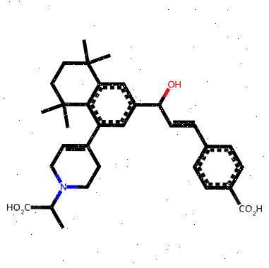 CC(C(=O)O)N1CC=C(c2cc(C(O)C=Cc3ccc(C(=O)O)cc3)cc3c2C(C)(C)CCC3(C)C)CC1